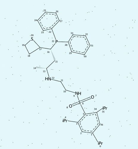 CC(C)c1cc(C(C)C)c(S(=O)(=O)NCCN[C@H](C)C[C@H](C2CCS2)P(c2ccccc2)c2ccccc2)c(C(C)C)c1